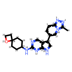 Cc1nnc2ccc(-c3c[nH]c4nc(NC5CCC6(CCO6)CC5)ncc34)cn12